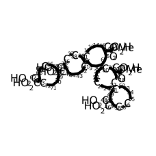 COC(=O)C1(C(=O)O)CCCCCCCCCCC1.COC(=O)C1(C(=O)O)CCCCCCCCCCC1.O=C(O)C1(C(=O)O)CCCCCCCCCCC1.O=C(O)C1(C(=O)O)CCCCCCCCCCC1.O=C(O)C1(C(=O)O)CCCCCCCCCCC1